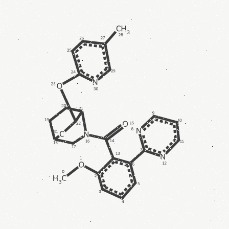 COc1cccc(-c2ncccn2)c1C(=O)N1CC2CCC1C(Oc1ccc(C)cn1)C2